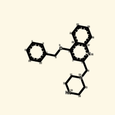 c1ccc(COc2cc(CN3CCNCC3)nc3ccccc23)cc1